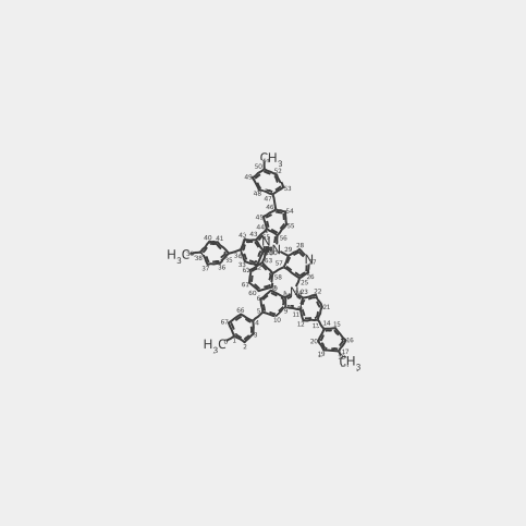 Cc1ccc(-c2ccc3c(c2)c2cc(-c4ccc(C)cc4)ccc2n3-c2cncc(-n3c4ccc(-c5ccc(C)cc5)cc4c4cc(-c5ccc(C)cc5)ccc43)c2-c2ccccc2C#N)cc1